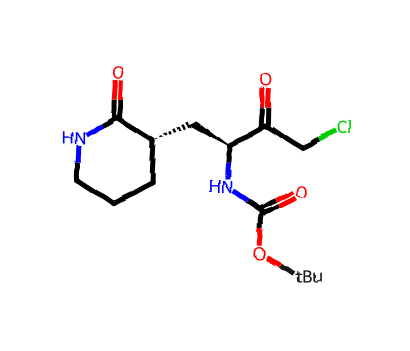 CC(C)(C)OC(=O)N[C@@H](C[C@@H]1CCCNC1=O)C(=O)CCl